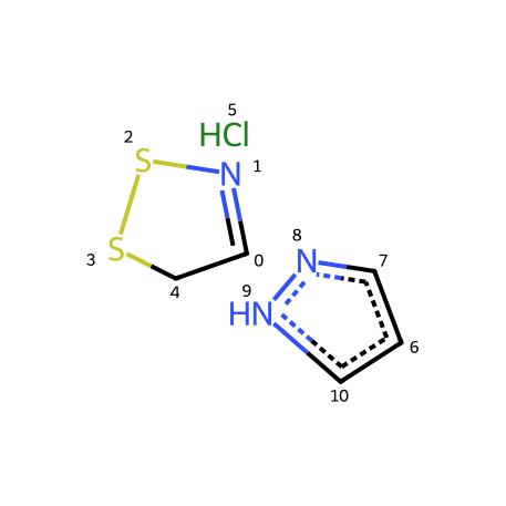 C1=NSSC1.Cl.c1cn[nH]c1